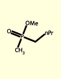 CCCCP(C)(=O)OC